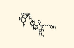 COc1ncc(F)cc1[C@H]1CCCN1c1ccn2nc(N)c(C(=O)NCCCO)c2n1